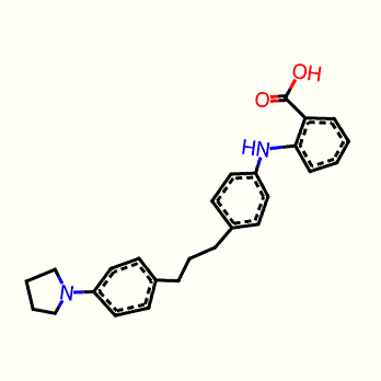 O=C(O)c1ccccc1Nc1ccc(CCCc2ccc(N3CCCC3)cc2)cc1